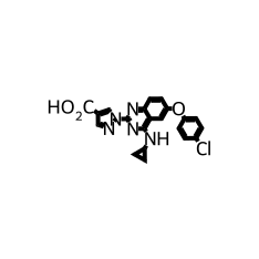 O=C(O)c1cnn(-c2nc(NC3CC3)c3cc(Oc4ccc(Cl)cc4)ccc3n2)c1